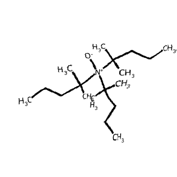 CCCC(C)(C)[N+]([O-])(C(C)(C)CCC)C(C)(C)CCC